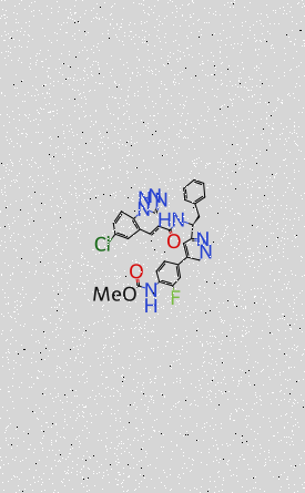 COC(=O)Nc1ccc(-c2cnnc([C@H](Cc3ccccc3)NC(=O)/C=C/c3cc(Cl)ccc3-n3cnnn3)c2)cc1F